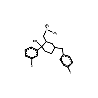 CN(C)CC1CC(Cc2ccc(F)cc2)CCC1(O)c1cccc(Cl)c1